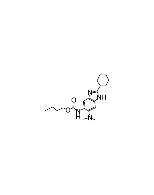 CCCCOC(=O)Nc1cc2nc(C3CCCCC3)[nH]c2cc1N(C)C